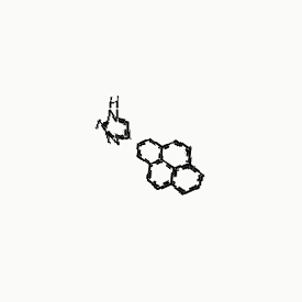 c1c[nH]nn1.c1cc2ccc3cccc4ccc(c1)c2c34